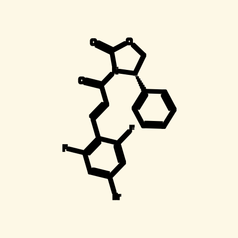 O=C(/C=C/c1c(F)cc(Br)cc1F)N1C(=O)OC[C@@H]1c1ccccc1